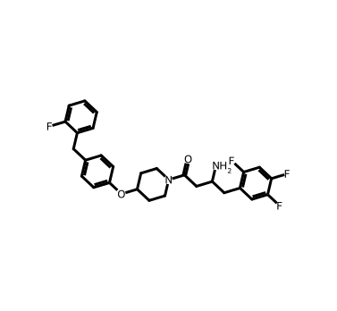 NC(CC(=O)N1CCC(Oc2ccc(Cc3ccccc3F)cc2)CC1)Cc1cc(F)c(F)cc1F